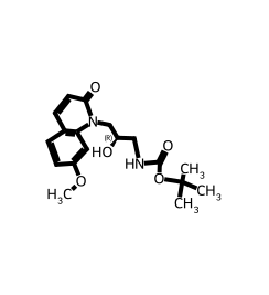 COc1ccc2ccc(=O)n(C[C@H](O)CNC(=O)OC(C)(C)C)c2c1